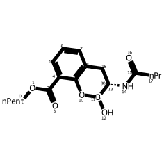 CCCCCOC(=O)c1cccc2c1OB(O)[C@@H](NC(=O)CCC)C2